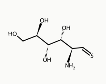 N[C@H](C=S)[C@@H](O)[C@H](O)[C@H](O)CO